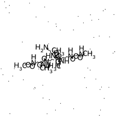 CCNC(=O)COCC(=O)NCCCCC(NC(=O)CC)C(=O)N[C@H](CCCCNC(=O)C(CCCCNC(=O)COCC)NC(C)=O)C(=O)NC(CCCCN)C(C)=O